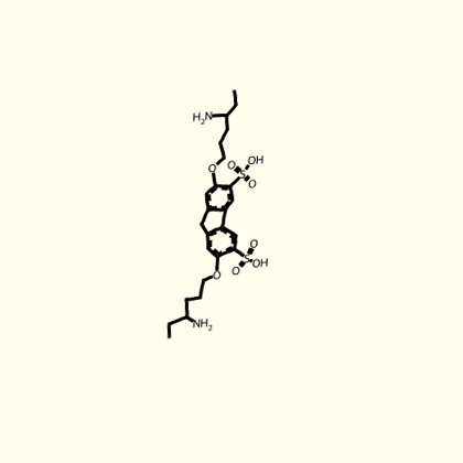 CCC(N)CCCOc1cc2c(cc1S(=O)(=O)O)-c1cc(S(=O)(=O)O)c(OCCCC(N)CC)cc1C2